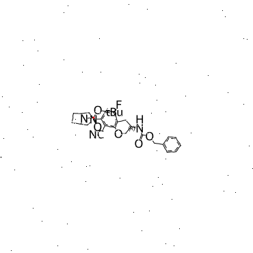 CC(C)(C)OC(=O)N1C2CCC1CN(c1cc(F)c3c(c1C#N)OC[C@H](NC(=O)OCc1ccccc1)C3)C2